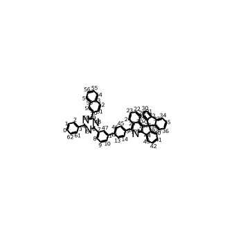 c1ccc(-c2nc(-c3cccc(-c4ccc(-c5nc6c(c7ccccc57)C5(c7ccccc7-c7ccccc75)c5ccccc5-6)cc4)c3)nc(-c3ccc4ccccc4c3)n2)cc1